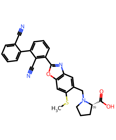 CSc1cc2oc(-c3cccc(-c4ccccc4C#N)c3C#N)nc2cc1CN1CCC[C@H]1C(=O)O